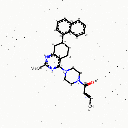 COc1nc2c(c(N3CCN(C(=O)/C=C/C#N)CC3)n1)CCC(c1cccc3ccccc13)C2